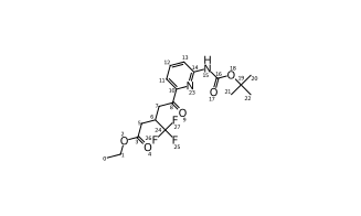 CCOC(=O)CC(CC(=O)c1cccc(NC(=O)OC(C)(C)C)n1)C(F)(F)F